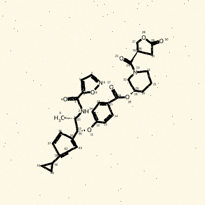 C[C@H](NC(=O)c1ccno1)[C@H](Oc1ccc(C(=O)O[C@H]2CCCN(C(=O)[C@H]3COC(=O)C3)C2)cc1)c1ccc(C2CC2)cc1